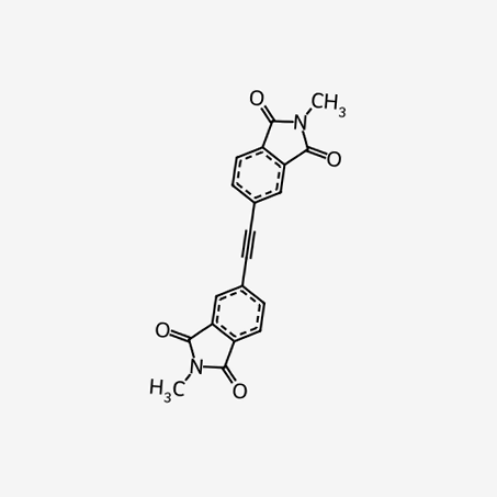 CN1C(=O)c2ccc(C#Cc3ccc4c(c3)C(=O)N(C)C4=O)cc2C1=O